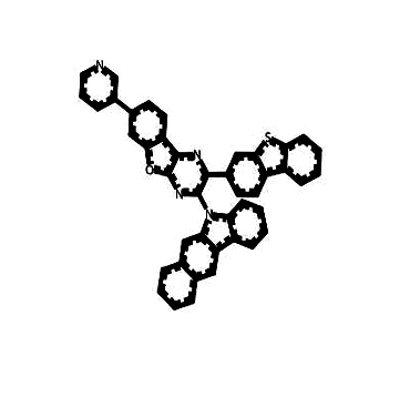 c1cncc(-c2ccc3c(c2)oc2nc(-n4c5ccccc5c5cc6ccccc6cc54)c(-c4ccc5c(c4)sc4ccccc45)nc23)c1